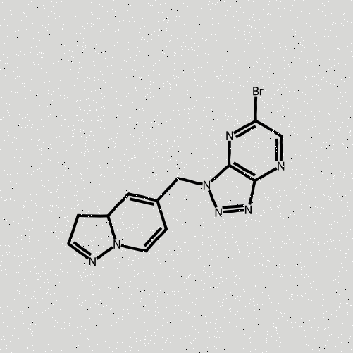 Brc1cnc2nnn(CC3=CC4CC=NN4C=C3)c2n1